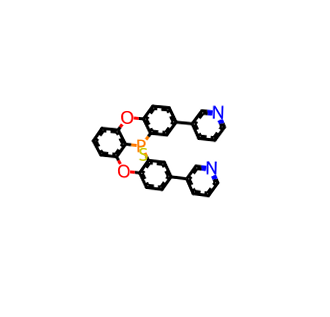 S=P12c3cc(-c4cccnc4)ccc3Oc3cccc(c31)Oc1ccc(-c3cccnc3)cc12